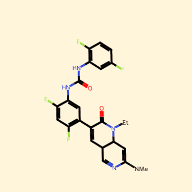 CCN1C(=O)C(c2cc(NC(=O)Nc3cc(F)ccc3F)c(F)cc2F)=CC2C=NC(NC)=CC21